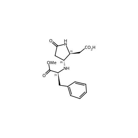 COC(=O)[C@H](Cc1ccccc1)N[C@@H]1CC(=O)N[C@H]1CC(=O)O